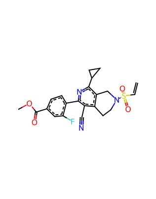 C=CS(=O)(=O)N1CCc2c(C#N)c(-c3ccc(C(=O)OC)cc3F)nc(C3CC3)c2C1